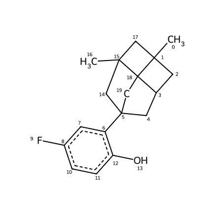 CC12CC3CC4(c5cc(F)ccc5O)CC(C)(C1)C32C4